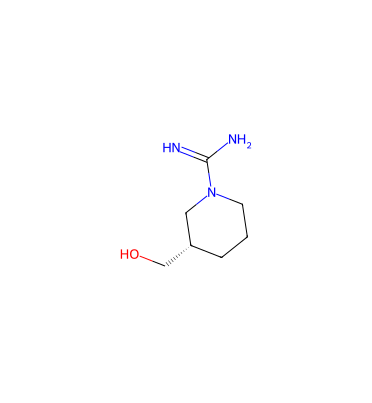 N=C(N)N1CCC[C@H](CO)C1